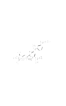 CC(=O)Nc1cccc(Nc2cc(NC3CC3)n3ncc(C=C4NC(=O)NC4=O)c3n2)c1